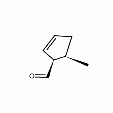 C[C@@H]1CC=C[C@@H]1C=O